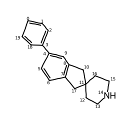 c1ccc(-c2ccc3c(c2)CC2(CCNCC2)C3)cc1